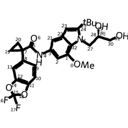 COc1cc(NC(=O)C2(c3ccc4c(c3)OC(F)(F)O4)CC2)cc2cc(C(C)(C)C)n(C[C@@H](O)CO)c12